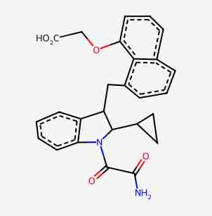 NC(=O)C(=O)N1c2ccccc2C(Cc2cccc3cccc(OCC(=O)O)c23)C1C1CC1